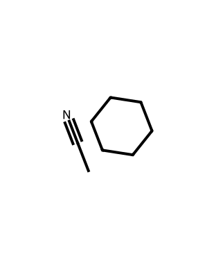 C1CCCCC1.CC#N